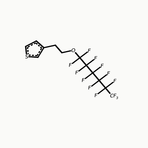 FC(F)(F)C(F)(F)C(F)(F)C(F)(F)C(F)(F)C(F)(F)OCCc1ccsc1